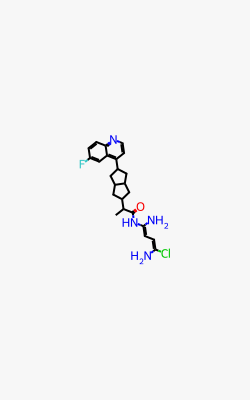 CC(C(=O)N/C(N)=C/C=C(\N)Cl)C1CC2CC(c3ccnc4ccc(F)cc34)CC2C1